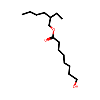 CCCCC(CC)COC(=O)CCCCCCCO